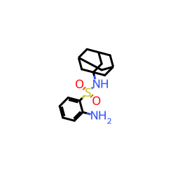 Nc1ccccc1S(=O)(=O)NC12CC3CC(CC(C3)C1)C2